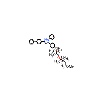 COCCC(C)(C)C(C)(C)OCC(C)C(C)(C)Oc1ccc(C2CC(c3ccc(-c4ccccc4)cc3)=NN2c2ccccc2)cc1